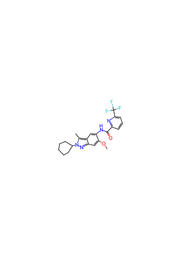 COc1cc2nn(C3CCCCC3)c(C)c2cc1NC(=O)c1cccc(C(F)(F)F)n1